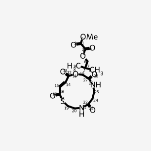 COC(=O)C(=O)OCC(C)(C)[C@H]1OC(=O)/C=C/C(=O)SCCNC(=O)CCNC1=O